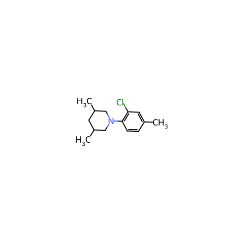 Cc1ccc(N2CC(C)CC(C)C2)c(Cl)c1